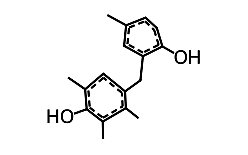 Cc1ccc(O)c(Cc2cc(C)c(O)c(C)c2C)c1